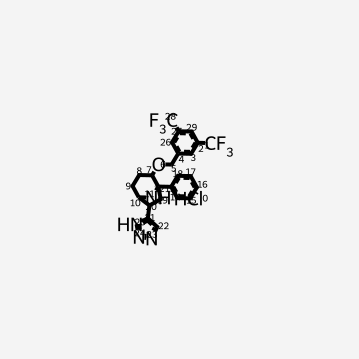 Cl.FC(F)(F)c1cc(COC2CCC3NC2(c2ccccc2)CC3c2cnn[nH]2)cc(C(F)(F)F)c1